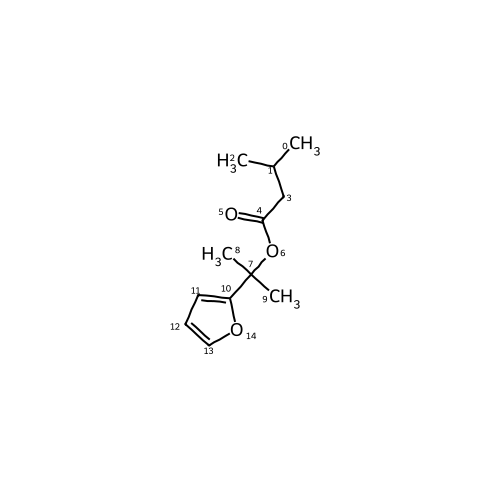 CC(C)CC(=O)OC(C)(C)c1ccco1